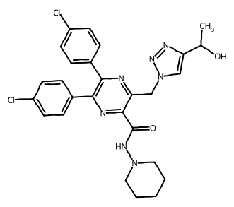 CC(O)c1cn(Cc2nc(-c3ccc(Cl)cc3)c(-c3ccc(Cl)cc3)nc2C(=O)NN2CCCCC2)nn1